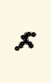 c1ccc(-c2ccc3cc(-c4nc(-c5ccc6ccccc6c5)nc(-c5cc6c7cc(-c8ccccc8)ccc7oc6c6ccccc56)n4)ccc3c2)cc1